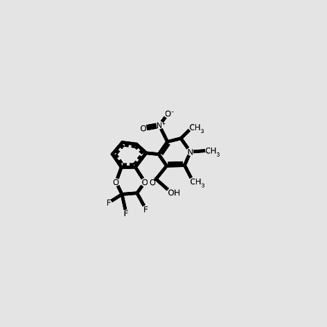 CC1=C(C(=O)O)C(c2cccc3c2OC(F)C(F)(F)O3)=C([N+](=O)[O-])C(C)N1C